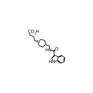 O=C(O)CCCN1CCC(CNC(=O)c2c[nH]c3ccccc23)CC1